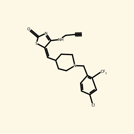 C#CCNC1=NC(=O)SC1=CC1CCN(Cc2ccc(Cl)cc2C(F)(F)F)CC1